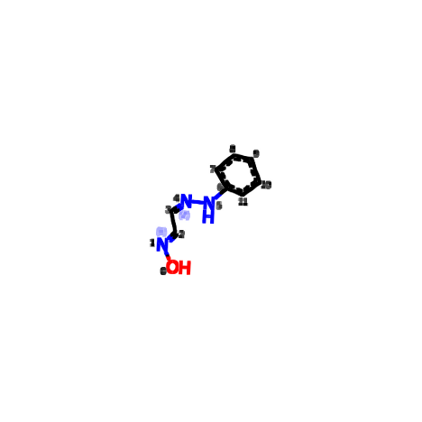 O/N=C/C=N\Nc1ccccc1